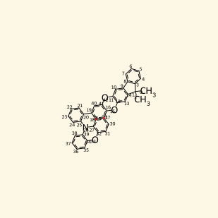 CC1(C)c2ccccc2-c2cc3c(cc21)Oc1ccc(-c2ccccc2N2c4ccccc4Oc4ccccc42)cc1O3